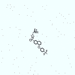 CCNCC1CN(C(=O)c2ccc3c(Oc4ccc(C(C)(F)F)cc4)cccc3c2)C1